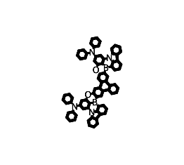 c1ccc(N(c2ccccc2)c2cc3c4c(c2)-n2c5ccccc5c5cccc(c52)B4c2cc4c5ccccc5c5cc6c(cc5c4cc2O3)Oc2cc(N(c3ccccc3)c3ccccc3)cc3c2B6c2cccc4c5ccccc5n-3c24)cc1